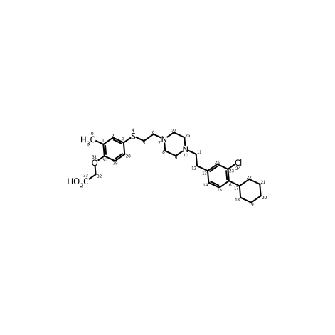 Cc1cc(SCCN2CCN(CCc3ccc(C4CCCCC4)c(Cl)c3)CC2)ccc1OCC(=O)O